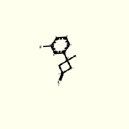 CC1(c2cccc(Br)c2)CC(=O)C1